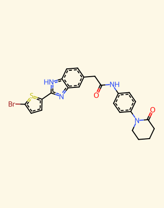 O=C(Cc1ccc2[nH]c(-c3ccc(Br)s3)nc2c1)Nc1ccc(N2CCCCC2=O)cc1